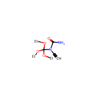 C#CN(C(N)=O)C(OCC)(OCC)OCC